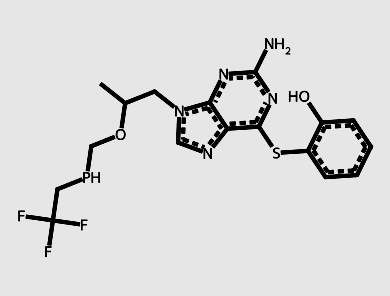 CC(Cn1cnc2c(Sc3ccccc3O)nc(N)nc21)OCPCC(F)(F)F